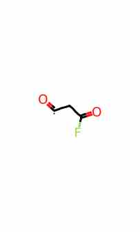 O=[C]CC(=O)F